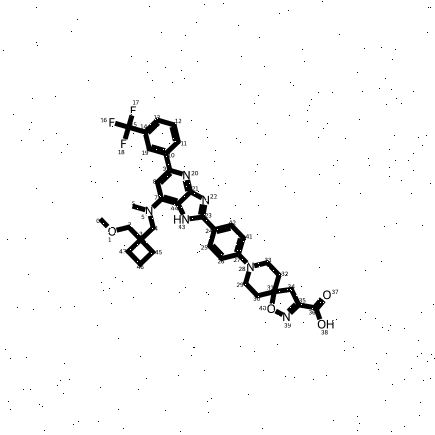 COCC1(CN(C)c2cc(-c3cccc(C(F)(F)F)c3)nc3nc(-c4ccc(N5CCC6(CC5)CC(C(=O)O)=NO6)cc4)[nH]c23)CCC1